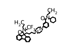 C=CCN(CC(F)(F)F)C(=O)C1(CCCCN2CCN(c3cccc(C(=O)N(CC=C)C4CCCCC4)c3)CC2)c2ccccc2-c2ccccc21